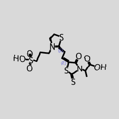 CC(C(=O)O)N1C(=O)/C(=C\C=C2\SCCN2CCCS(=O)(=O)O)SC1=S